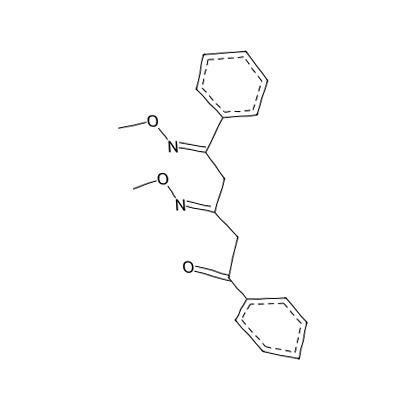 CON=C(CC(=O)c1ccccc1)CC(=NOC)c1ccccc1